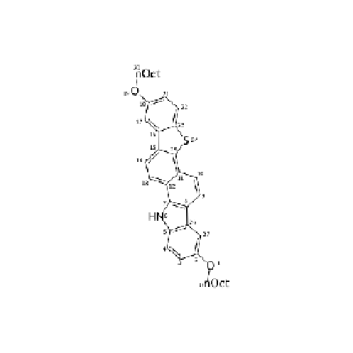 CCCCCCCCOc1ccc2[nH]c3c(ccc4c3ccc3c5cc(OCCCCCCCC)ccc5sc34)c2c1